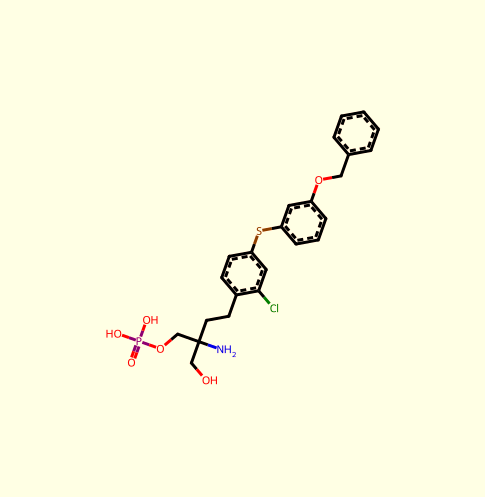 NC(CO)(CCc1ccc(Sc2cccc(OCc3ccccc3)c2)cc1Cl)COP(=O)(O)O